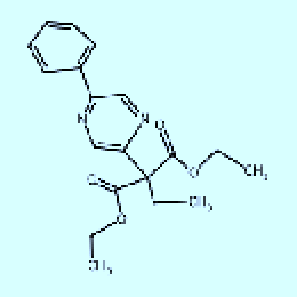 CCOC(=O)C(CC)(C(=O)OCC)c1cnc(-c2ccccc2)cn1